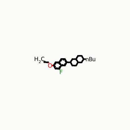 C=CCOc1cc(F)c2cc(C3CCC4CC(CCCC)CCC4C3)ccc2c1